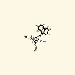 COC[C@](C)(CCN=[N+]=[N-])[C@H](NC(=O)OCC1c2ccccc2-c2ccccc21)C(=O)O